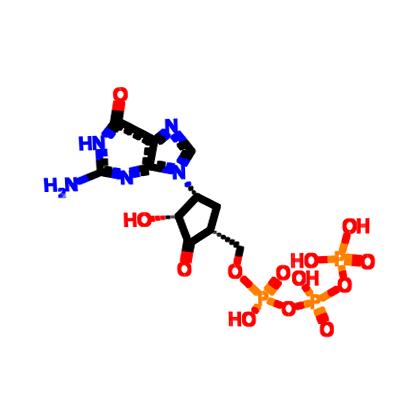 Nc1nc2c(ncn2[C@@H]2C[C@H](COP(=O)(O)OP(=O)(O)OP(=O)(O)O)C(=O)[C@@H]2O)c(=O)[nH]1